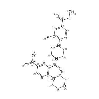 CCC(=O)c1ccc(N2CCN(C(=O)c3cc([N+](=O)[O-])ccc3N3CCOCC3)CC2)c(F)c1